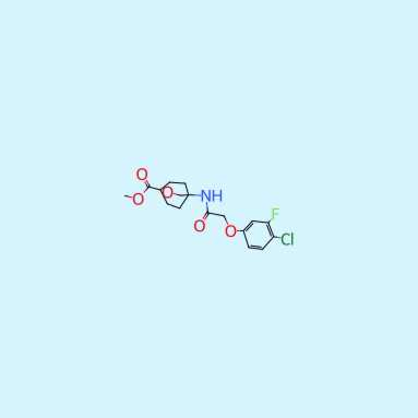 COC(=O)C12CCC(NC(=O)COc3ccc(Cl)c(F)c3)(CC1)CO2